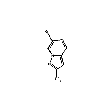 FC(F)(F)c1cc2ccc(Br)cn2n1